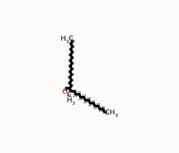 CCCCCCCCCCCCCCCCCCC([C]=O)C(C)CCCCCCCCCCCCCCC